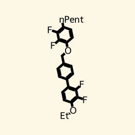 CCCCCc1ccc(OCc2ccc(-c3ccc(OCC)c(F)c3F)cc2)c(F)c1F